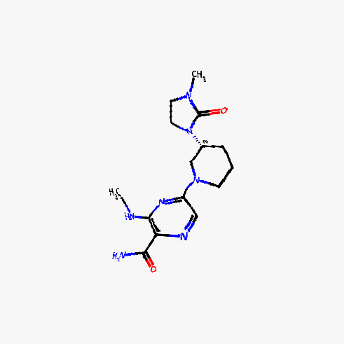 CNc1nc(N2CCC[C@@H](N3CCN(C)C3=O)C2)cnc1C(N)=O